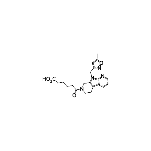 Cc1cc(Cn2c3c(c4cccnc42)CCN(C(=O)CCCCC(=O)O)C3)no1